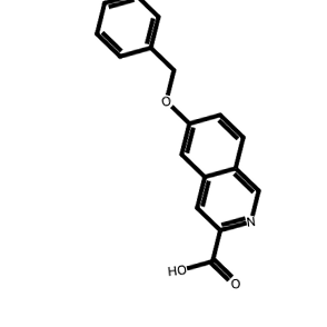 O=C(O)c1cc2cc(OCc3ccccc3)ccc2cn1